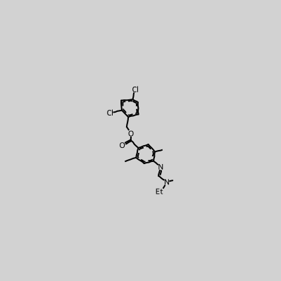 CCN(C)/C=N/c1cc(C)c(C(=O)OCc2ccc(Cl)cc2Cl)cc1C